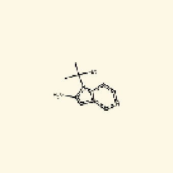 CCC(C)(C)n1c(N)cc2cnccc21